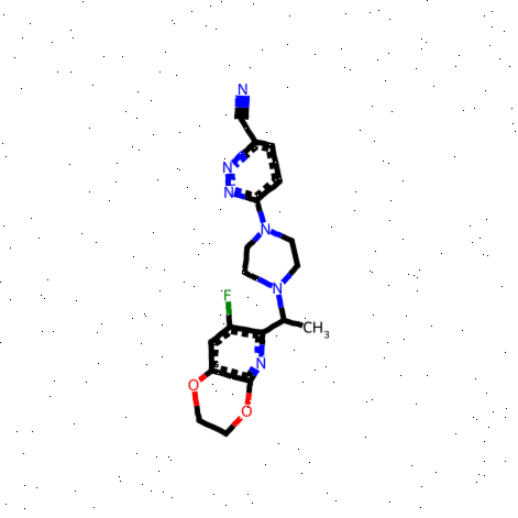 CC(c1nc2c(cc1F)OCCO2)N1CCN(c2ccc(C#N)nn2)CC1